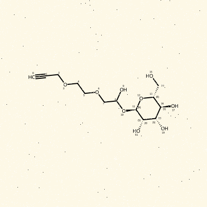 C#CCOCCOCC(O)O[C@H]1O[C@H](CO)[C@@H](O)[C@H](O)[C@@H]1O